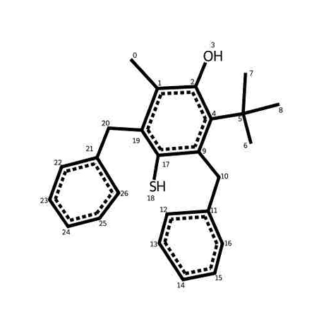 Cc1c(O)c(C(C)(C)C)c(Cc2ccccc2)c(S)c1Cc1ccccc1